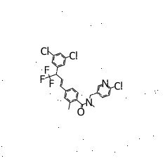 Cc1cc(/C=C/C(c2cc(Cl)cc(Cl)c2)C(F)(F)F)ccc1C(=O)N(C)Cc1ccc(Cl)nc1